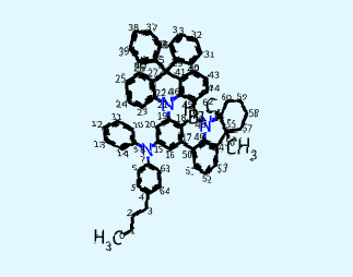 CCCCc1ccc(N(c2ccccc2)c2cc3c4c(c2)N2c5ccccc5C(c5ccccc5)(c5ccccc5)c5cccc(c52)B4N2c4c-3cccc4C3(C)CCCCC23C)cc1